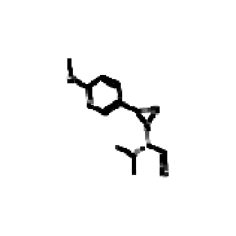 COc1ccc(C2ON2[C@H](C=O)C(C)C)cc1